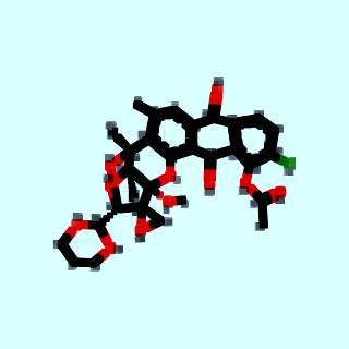 CO[C@@]12Oc3c4c(cc(C)c3[C@H]3O[C@](C5OCCCO5)(O[C@@H]31)[C@]21CO1)C(=O)c1ccc(Cl)c(OC(C)=O)c1C4=O